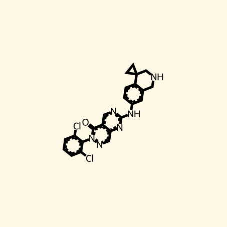 O=c1c2cnc(Nc3ccc4c(c3)CNCC43CC3)nc2cnn1-c1c(Cl)cccc1Cl